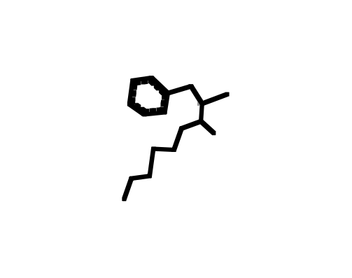 CCCCCCC(C)[C](C)Cc1ccccc1